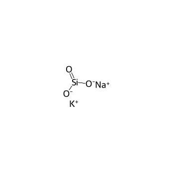 O=[Si]([O-])[O-].[K+].[Na+]